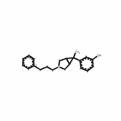 CC1(c2cccc(O)c2)C2CN(CCCc3ccccc3)CC21